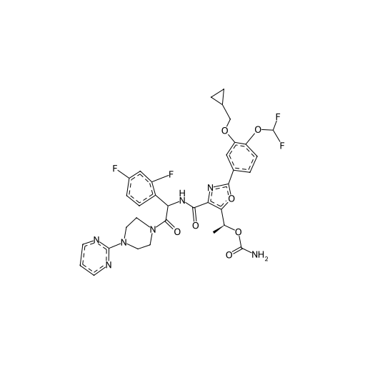 C[C@H](OC(N)=O)c1oc(-c2ccc(OC(F)F)c(OCC3CC3)c2)nc1C(=O)NC(C(=O)N1CCN(c2ncccn2)CC1)c1ccc(F)cc1F